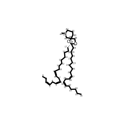 CC/C=C\C/C=C\C/C=C\CCCCCCCC[C@@]1(CCCCCCCC/C=C\C/C=C\CCCCC)OCC2(CCCN(C)C2)O1